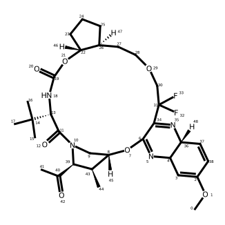 COC1=CC2N=C3O[C@H]4CN(C(=O)[C@H](C(C)(C)C)NC(=O)O[C@@H]5CCC[C@H]5CCOCC(F)(F)C3=N[C@@H]2C=C1)[C@H](C(C)=O)[C@@H]4C